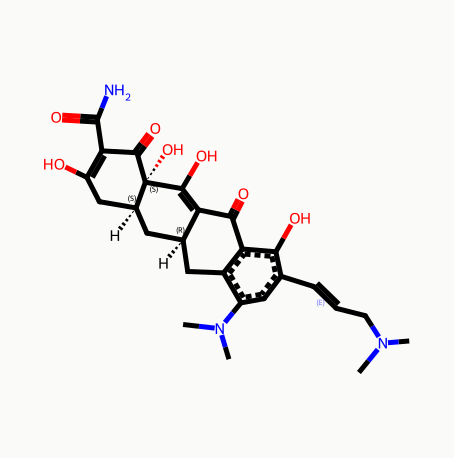 CN(C)C/C=C/c1cc(N(C)C)c2c(c1O)C(=O)C1=C(O)[C@]3(O)C(=O)C(C(N)=O)=C(O)C[C@@H]3C[C@@H]1C2